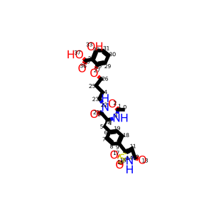 CC(=O)N[C@@H](Cc1ccc(C2=CC(=O)NS2(=O)=O)cc1)C(=O)NCCCCOc1cccc(O)c1C(=O)O